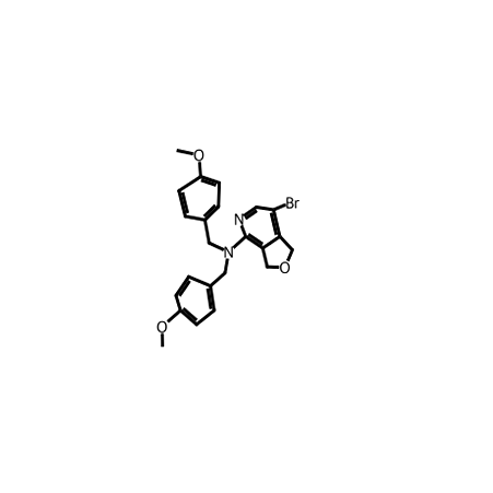 COc1ccc(CN(Cc2ccc(OC)cc2)c2ncc(Br)c3c2COC3)cc1